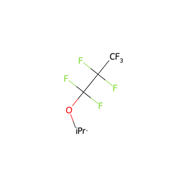 C[C](C)OC(F)(F)C(F)(F)C(F)(F)F